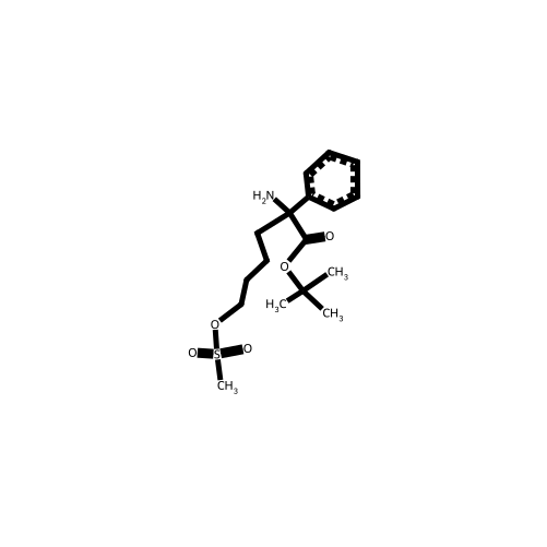 CC(C)(C)OC(=O)C(N)(CCCCOS(C)(=O)=O)c1ccccc1